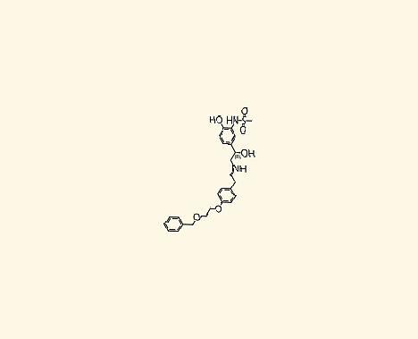 CS(=O)(=O)Nc1cc([C@@H](O)CNCCc2ccc(OCCOCc3ccccc3)cc2)ccc1O